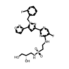 O=S(=O)(CCNc1nc(-c2cc(-c3ccon3)n(Cc3ccccc3F)n2)ncc1F)NC[C@H](O)CO